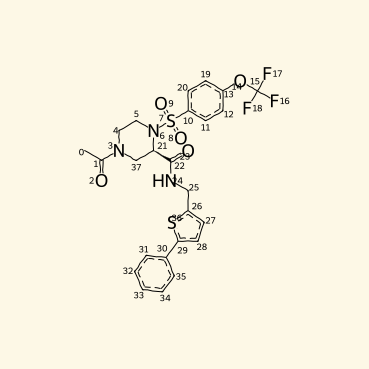 CC(=O)N1CCN(S(=O)(=O)c2ccc(OC(F)(F)F)cc2)[C@@H](C(=O)NCc2ccc(-c3ccccc3)s2)C1